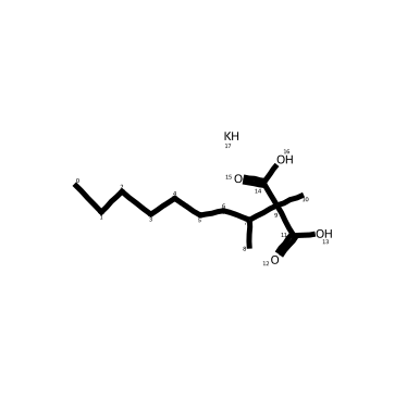 CCCCCCCC(C)C(C)(C(=O)O)C(=O)O.[KH]